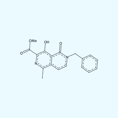 COC(=O)c1nc(I)c2ccn(Cc3ccccc3)c(=O)c2c1O